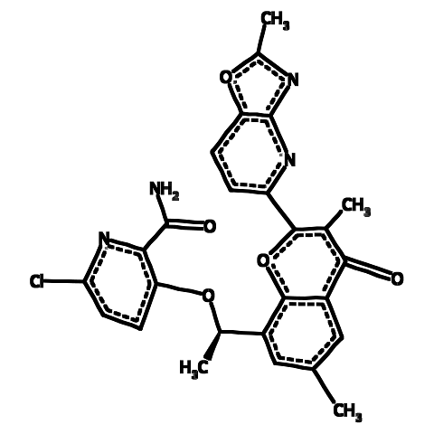 Cc1cc([C@@H](C)Oc2ccc(Cl)nc2C(N)=O)c2oc(-c3ccc4oc(C)nc4n3)c(C)c(=O)c2c1